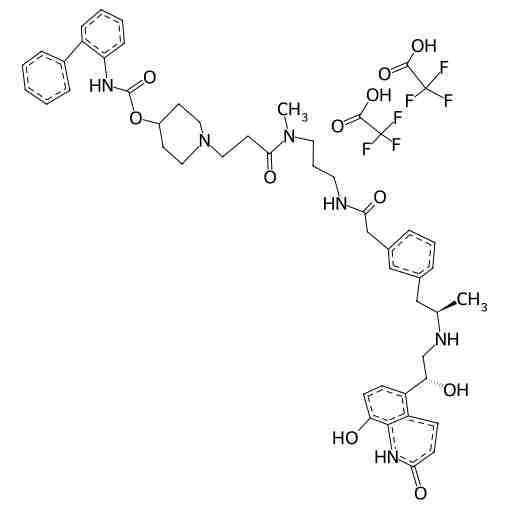 C[C@H](Cc1cccc(CC(=O)NCCCN(C)C(=O)CCN2CCC(OC(=O)Nc3ccccc3-c3ccccc3)CC2)c1)NC[C@H](O)c1ccc(O)c2[nH]c(=O)ccc12.O=C(O)C(F)(F)F.O=C(O)C(F)(F)F